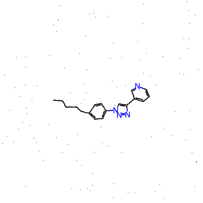 CCCCCc1ccc(-n2cc(-c3cccnc3)nn2)cc1